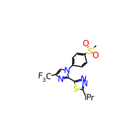 CC(C)c1nnc(-c2nc(C(F)(F)F)cn2-c2ccc(S(C)(=O)=O)cc2)s1